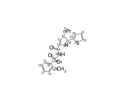 CCCC1C=C(C(=O)NS(=O)(=O)c2ccccc2C)N=C1c1cccs1